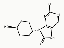 O=c1[nH]c2cnc(Cl)nc2n1[C@H]1CC[C@H](O)CC1